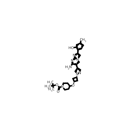 Cc1ccc(-c2cn3cc(-c4cnn([C@H]5C[C@H](OC6CCN(C(=O)OC(C)(C)C)CC6)C5)c4)c(N)nc3n2)c(O)c1